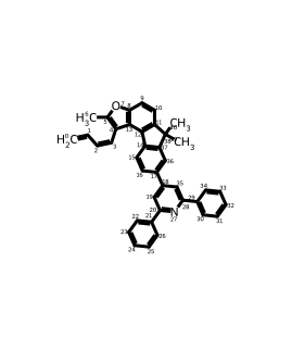 C=C/C=C\c1c(C)oc2ccc3c(c12)-c1ccc(-c2cc(-c4ccccc4)nc(-c4ccccc4)c2)cc1C3(C)C